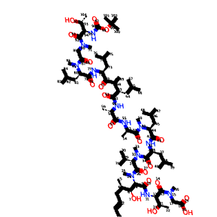 C/C=C/C[C@@H](C)[C@@H](O)[C@@H](C(=O)N[C@H](C(=O)N(C)CC(=O)O)[C@@H](C)O)N(C)C(=O)[C@H](C(C)C)N(C)C(=O)[C@H](CC(C)C)NC(=O)[C@H](CC(C)C)N(C)C(=O)[C@@H](C)NC(=O)[C@H](C)NC(=O)[C@@H](CC(C)C)C(C)C(=O)[C@H](CC(C)C)NC(=O)[C@H](CC(C)C)N(C)C(=O)CN(C)C(=O)[C@@H](NC(=O)OC(C)(C)C)[C@@H](C)O